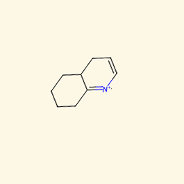 C1=C[N+]=C2CCCCC2C1